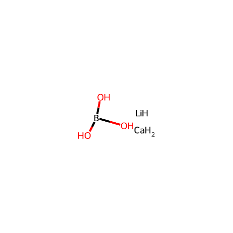 OB(O)O.[CaH2].[LiH]